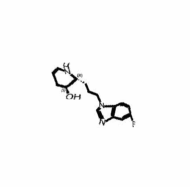 O[C@H]1CCCN[C@@H]1CCCn1cnc2cc(F)ccc21